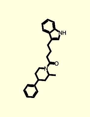 CC1CC(c2ccccc2)CCN1C(=O)CCCc1c[nH]c2ccccc12